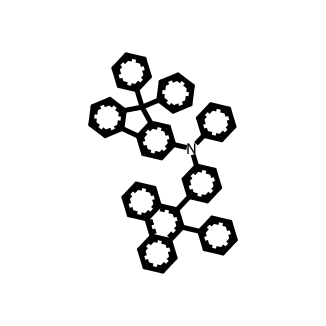 c1ccc(-c2c(-c3cccc(N(c4ccccc4)c4ccc5c(c4)C(c4ccccc4)(c4ccccc4)c4ccccc4-5)c3)c3ccccc3c3ccccc23)cc1